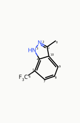 Cc1n[nH]c2c(C(F)(F)F)cccc12